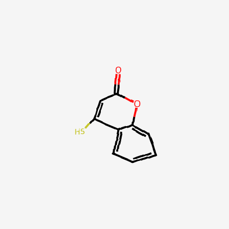 O=c1cc(S)c2ccccc2o1